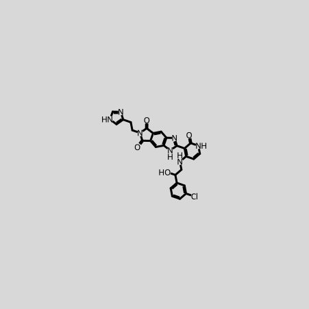 O=C1c2cc3nc(-c4c(NCC(O)c5cccc(Cl)c5)cc[nH]c4=O)[nH]c3cc2C(=O)N1CCc1c[nH]cn1